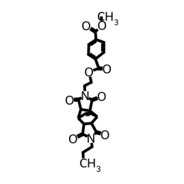 CCCN1C(=O)C2C3C=CC(C2C1=O)C1C(=O)N(CCOC(=O)c2ccc(C(=O)OC)cc2)C(=O)C31